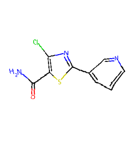 NC(=O)c1sc(-c2cccnc2)nc1Cl